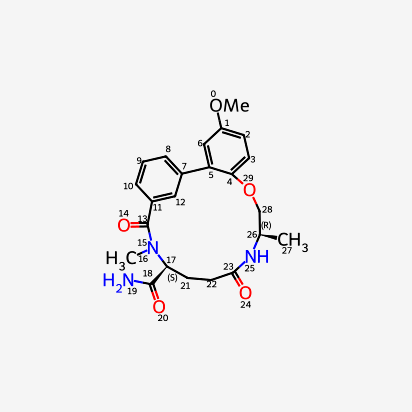 COc1ccc2c(c1)-c1cccc(c1)C(=O)N(C)[C@H](C(N)=O)CCC(=O)N[C@H](C)CO2